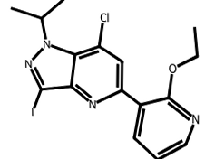 CCOc1ncccc1-c1cc(Cl)c2c(n1)c(I)nn2C(C)C